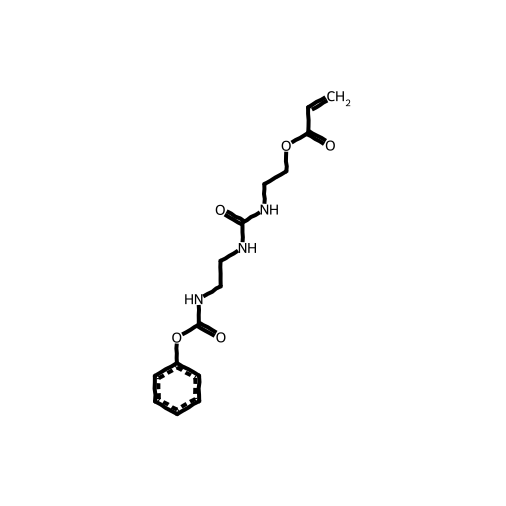 C=CC(=O)OCCNC(=O)NCCNC(=O)Oc1ccccc1